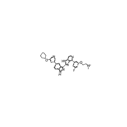 CN(C)CCOc1cc(F)cc(-c2nccc3[nH]c(-c4n[nH]c5ccc(-c6cncc(OC7CCCCC7)c6)cc45)nc23)c1